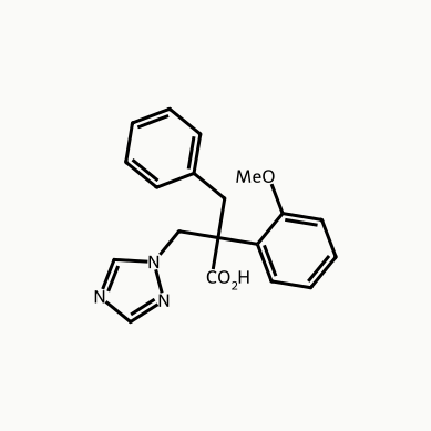 COc1ccccc1C(Cc1ccccc1)(Cn1cncn1)C(=O)O